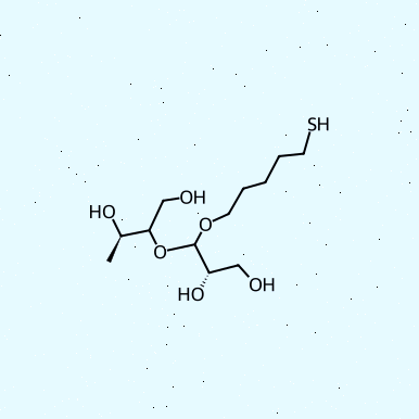 C[C@@H](O)C(CO)OC(OCCCCCS)[C@@H](O)CO